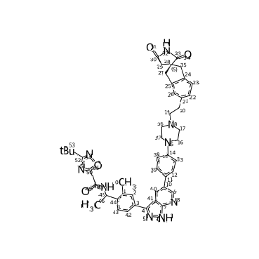 Cc1cc(-c2n[nH]c3ncc(-c4ccc(N5CCN(CCc6ccc7c(c6)C[C@]6(CC(=O)NC6=O)C7)CC5)cc4)cc23)ccc1C(C)NC(=O)c1nc(C(C)(C)C)no1